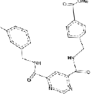 COC(=O)c1ccc(CNC(=O)c2cc(C(=O)NCc3cccc(C)c3)ncn2)cc1